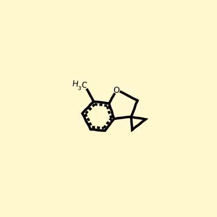 Cc1cccc2c1OCC21CC1